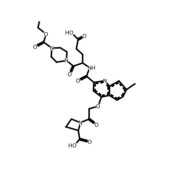 CCOC(=O)N1CCN(C(=O)C(CCC(=O)O)NC(=O)c2cc(OCC(=O)N3CCC3C(=O)O)c3ccc(C)cc3n2)CC1